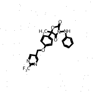 CC1(c2ccc(OCc3cnc(C(F)(F)F)nc3)cc2)OC(=O)N(Nc2ccccc2)C1=O